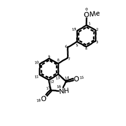 COc1cccc(CCc2cccc3c2C(=O)NC3=O)c1